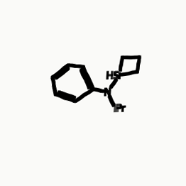 CC(C)N(c1ccccc1)[SiH]1CCC1